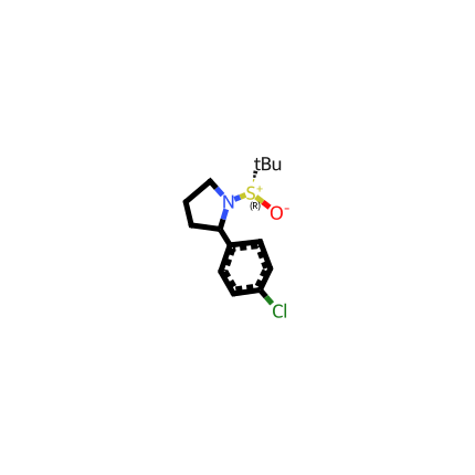 CC(C)(C)[S@+]([O-])N1CCCC1c1ccc(Cl)cc1